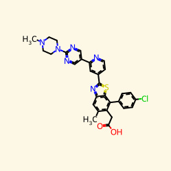 Cc1cc2nc(-c3ccnc(-c4cnc(N5CCN(C)CC5)nc4)c3)sc2c(-c2ccc(Cl)cc2)c1CC(=O)O